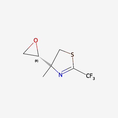 CC1([C@@H]2CO2)CSC(C(F)(F)F)=N1